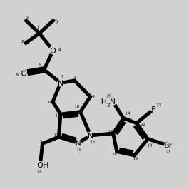 CC(C)(C)OC(=O)N1CCc2c(c(CO)nn2-c2ccc(Br)c(F)c2N)C1